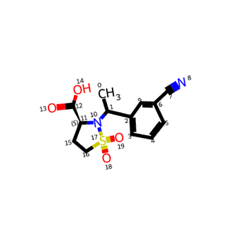 CC(c1cccc(C#N)c1)N1[C@H](C(=O)O)CCS1(=O)=O